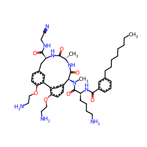 CCCCCCCCc1cccc(C(=O)N[C@@H](CCCCN)C(=O)N(C)[C@@H]2C(=O)N[C@@H](C)C(=O)N[C@H](C(=O)NCC#N)Cc3ccc(OCCN)c(c3)-c3cc2ccc3OCCN)c1